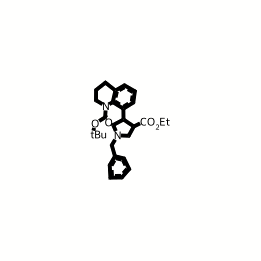 CCOC(=O)C1CN(Cc2ccccc2)CC1c1cccc2c1N(C(=O)OC(C)(C)C)CCC2